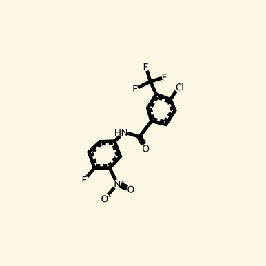 O=C(Nc1ccc(F)c([N+](=O)[O-])c1)c1ccc(Cl)c(C(F)(F)F)c1